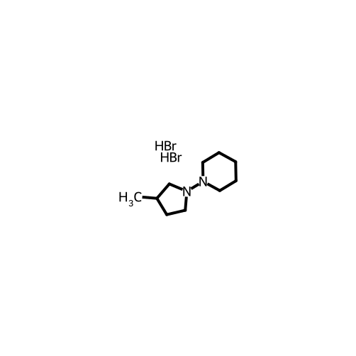 Br.Br.CC1CCN(N2CCCCC2)C1